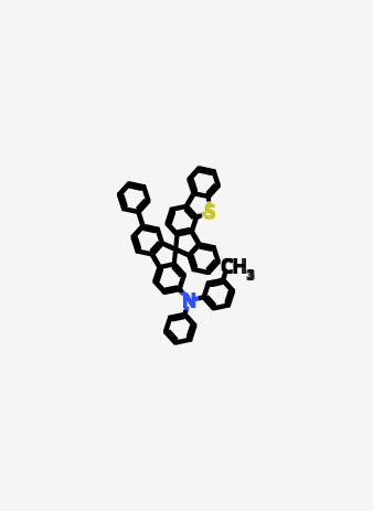 Cc1cccc(N(c2ccccc2)c2ccc3c(c2)C2(c4cc(-c5ccccc5)ccc4-3)c3ccccc3-c3c2ccc2c3sc3ccccc32)c1